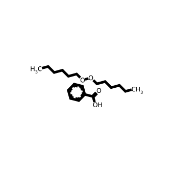 CCCCCCOOCCCCCC.O=C(O)c1ccccc1